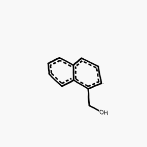 OCc1[c]ccc2ccccc12